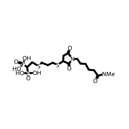 CNC(=O)CCCCCN1C(=O)CC(SCCCSCC(P(=O)(O)O)P(=O)(O)O)C1=O